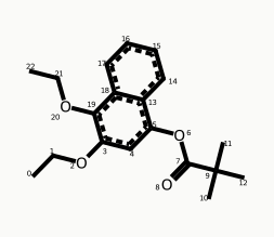 CCOc1cc(OC(=O)C(C)(C)C)c2ccccc2c1OCC